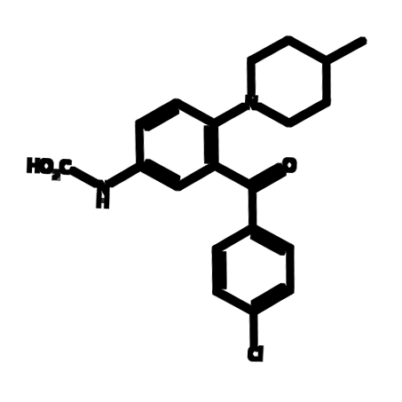 CC1CCN(c2ccc(NC(=O)O)cc2C(=O)c2ccc(Cl)cc2)CC1